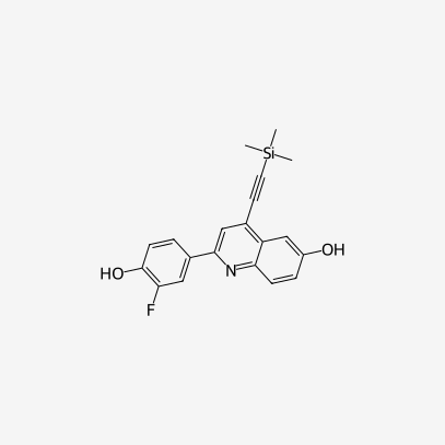 C[Si](C)(C)C#Cc1cc(-c2ccc(O)c(F)c2)nc2ccc(O)cc12